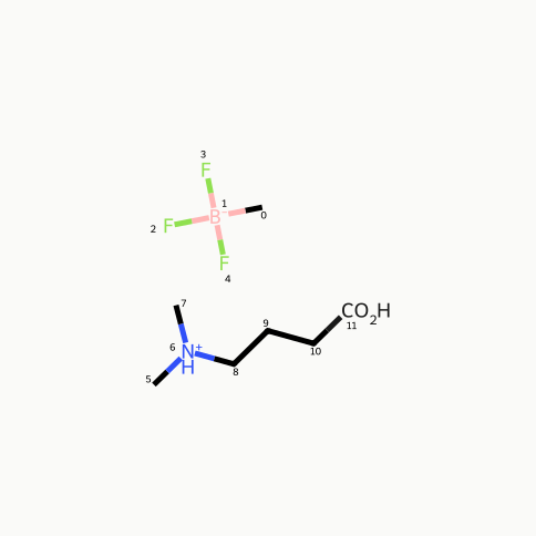 C[B-](F)(F)F.C[NH+](C)CCCC(=O)O